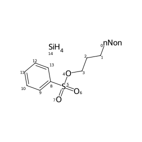 CCCCCCCCCCCCOS(=O)(=O)c1ccccc1.[SiH4]